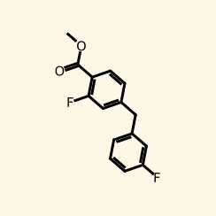 COC(=O)c1ccc(Cc2cccc(F)c2)cc1F